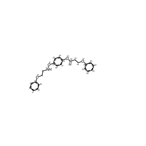 c1ccc(OCCNOc2ccc(ONCCOc3ccccc3)cc2)cc1